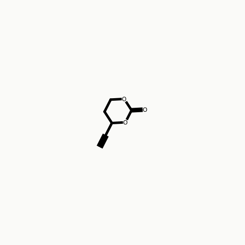 C#CC1CCOC(=O)O1